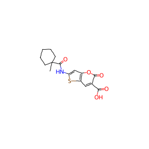 CC1(C(=O)Nc2cc3oc(=O)c(C(=O)O)cc3s2)CCCCC1